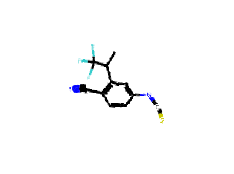 CC(c1cc(N=C=S)ccc1C#N)C(F)(F)F